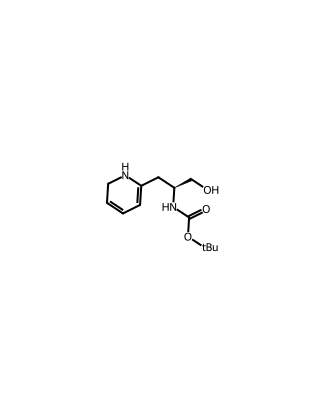 CC(C)(C)OC(=O)N[C@H](CO)CC1=CC=CCN1